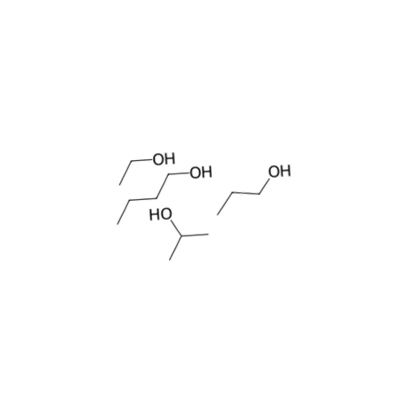 CC(C)O.CCCCO.CCCO.CCO